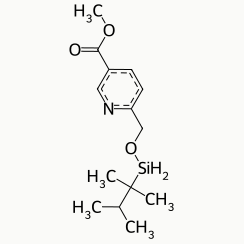 COC(=O)c1ccc(CO[SiH2]C(C)(C)C(C)C)nc1